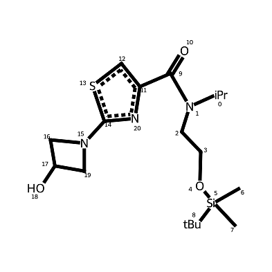 CC(C)N(CCO[Si](C)(C)C(C)(C)C)C(=O)c1csc(N2CC(O)C2)n1